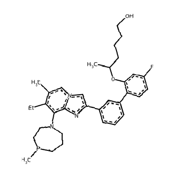 CCc1c(C)cn2cc(-c3cccc(-c4ccc(F)cc4OC(C)CCCCO)c3)nc2c1N1CCCP(C)CC1